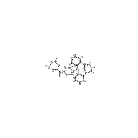 CC1=CC(Nc2ccc(C3(c4ccccc4)c4ccccc4-c4ccccc43)cc2)=CC(C)C1